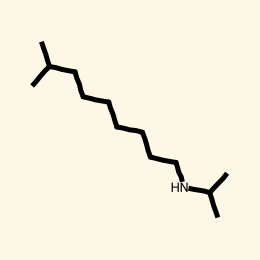 CC(C)CCCCCCCNC(C)C